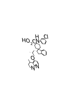 CC1CCN(C)c2nccc(OC[C@H](C)C[C@H]3Cc4ccccc4C34CCC(Nc3cccc(Cl)c3)(C(=O)O)CC4)c21